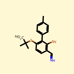 Cc1ccc(-c2c(SC(C)(C)C(=O)O)ccc(C=N)c2S)cc1